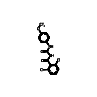 O=C(NC(=O)c1c(Cl)cccc1Cl)Nc1ccc(OC(F)(F)F)cc1